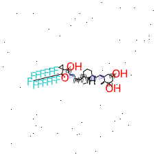 C=C1/C(=C\C=C2/CCC[C@]3(C)[C@@H]([C@H](C)/C=C/[C@H](O)C4(C(=O)C(F)(F)C(F)(F)C(F)(F)C(F)(F)C(F)(F)C(F)(F)F)CC4)CC[C@@H]23)C[C@@H](O)C[C@@H]1O